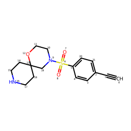 C#Cc1ccc(S(=O)(=O)N2CCOC3(CCNCC3)C2)cc1